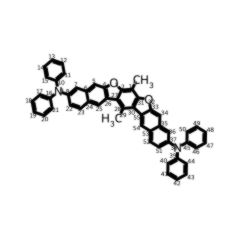 Cc1c2oc3cc4cc(N(c5ccccc5)c5ccccc5)ccc4cc3c2c(C)c2c1oc1cc3cc(N(c4ccccc4)c4ccccc4)ccc3cc12